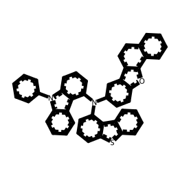 c1ccc(-n2c3ccccc3c3c(N(c4ccc5oc6c7ccccc7ccc6c5c4)c4cccc5sc6ccccc6c45)cccc32)cc1